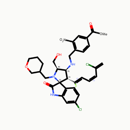 C=C(Cl)/C=C\C=C(/F)[C@H]1[C@H](NCc2ccc(C(=O)OC)cc2[N+](=O)[O-])[C@H](CO)N(CC2CCCOC2)[C@@]12C(=O)Nc1cc(Cl)ccc12